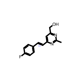 Cc1nc(/C=C/c2ccc(F)cc2)cc(CO)n1